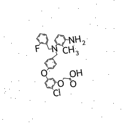 Cc1c(N)cccc1N(Cc1ccc(Oc2ccc(Cl)c(OCC(=O)O)c2)cc1)Cc1ccccc1F